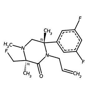 C=CCN1C(=O)[C@@](C)(CF)N(C)C[C@]1(C)c1cc(F)cc(F)c1